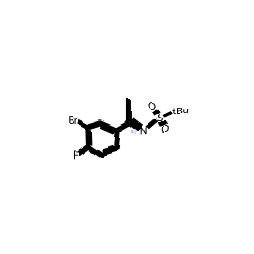 C/C(=N\S(=O)(=O)C(C)(C)C)c1ccc(F)c(Br)c1